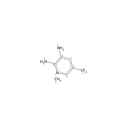 C.Nc1cc(C(F)(F)F)cnc1N